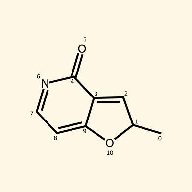 CC1C=C2C(=O)N=CC=C2O1